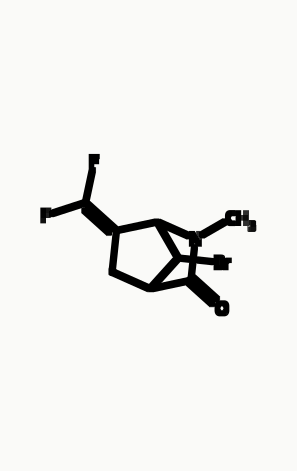 CN1C(=O)C2CC(=C(F)F)C1C2Br